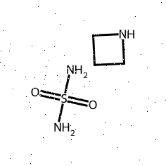 C1CNC1.NS(N)(=O)=O